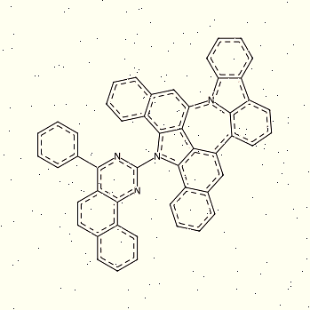 c1ccc(-c2nc(-n3c4c5ccccc5cc5c6cccc7c8ccccc8n(c8cc9ccccc9c3c8c54)c67)nc3c2ccc2ccccc23)cc1